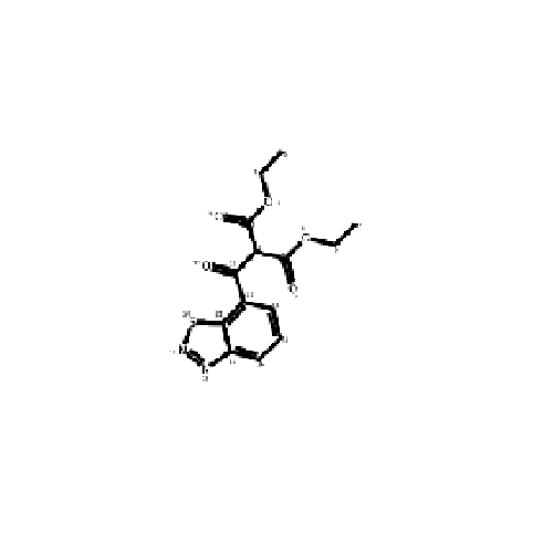 CCOC(=O)C(C(=O)OCC)C(=O)c1cccc2nnsc12